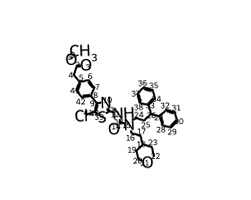 COC(=O)Cc1ccc(-c2nc(NC(=O)N(CCC3CCOCC3)CCC(c3ccccc3)c3ccccc3)sc2Cl)cc1